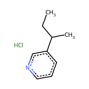 CCC(C)c1cccnc1.Cl